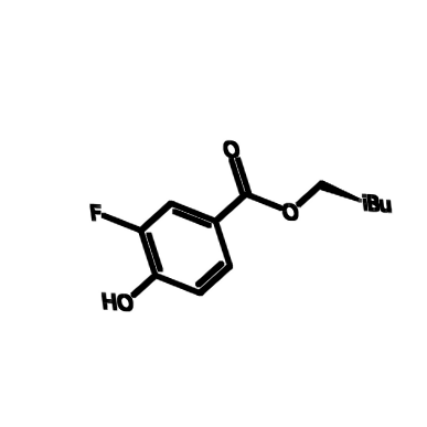 CC[C@H](C)COC(=O)c1ccc(O)c(F)c1